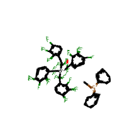 C[S+](c1ccccc1)c1ccccc1.Fc1ccc(C(F)(F)[B-](C(F)(F)c2ccc(F)c(F)c2F)(C(F)(F)c2ccc(F)c(F)c2F)C(F)(F)c2ccc(F)c(F)c2F)c(F)c1F